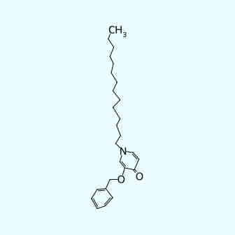 CCCCCCCCCCCCCCn1ccc(=O)c(OCc2ccccc2)c1